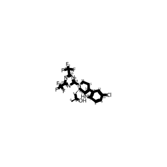 C[C@H](O)C[C@H]1c2[nH]c3ccc(Cl)cc3c2CCN1c1nc(C(F)(F)F)nc(C(F)(F)F)n1